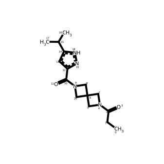 CCC(=O)N1CC2(C1)CN(C(=O)c1cc(C(C)C)[nH]n1)C2